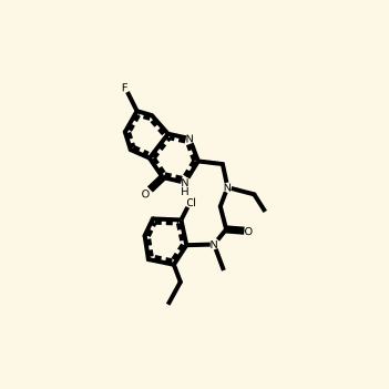 CCc1cccc(Cl)c1N(C)C(=O)CN(CC)Cc1nc2cc(F)ccc2c(=O)[nH]1